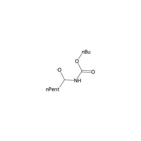 CCCCCC([O])NC(=O)OCCCC